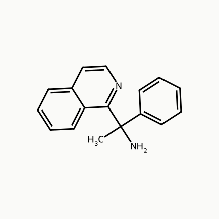 CC(N)(c1ccccc1)c1nccc2ccccc12